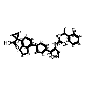 CC(OC(=O)Nc1cnoc1-c1ccc(-c2ccc(C3(C(=O)O)CC3)c3c2CCC3)cc1)c1ccccc1Cl